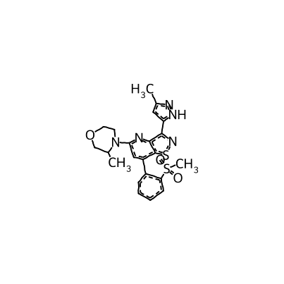 Cc1cc(-c2nsc3c(-c4ccccc4S(C)(=O)=O)cc(N4CCOCC4C)nc23)[nH]n1